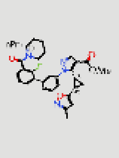 CCC[C@@H]1CCCCN1C(=O)c1cccc(-c2cccc(-n3ncc(C(=O)OC)c3[C@@H]3C[C@H]3c3cc(C)no3)c2)c1F